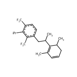 CC1=C(C(C)Cc2ccc(C(F)(F)F)c(C(C)C)c2C(F)(F)F)C(C)CC=C1